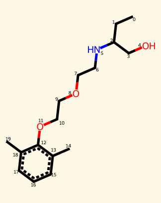 CCC(CO)NCCOCCOc1c(C)cccc1C